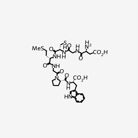 CSCC[C@H](NC(=O)[C@H](CS)NC(=O)CNC(=O)[C@@H](N)CC(=O)O)C(=O)NCC(=O)N1CCC[C@H]1C(=O)N[C@@H](Cc1c[nH]c2ccccc12)C(=O)O